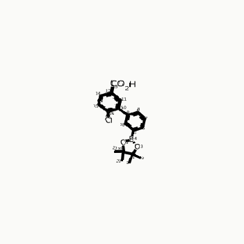 CC1(C)OB(c2cccc(-c3cc(C(=O)O)ccc3Cl)c2)OC1(C)C